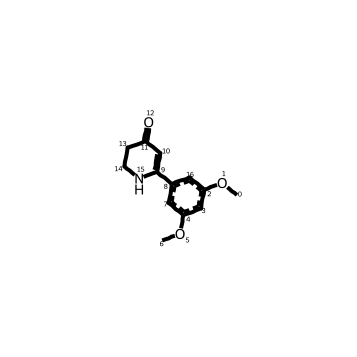 COc1cc(OC)cc(C2=CC(=O)CCN2)c1